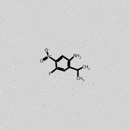 CC(C)c1cc(F)c([N+](=O)[O-])cc1N